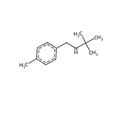 Cc1ccc(CNC(C)(C)C)cc1